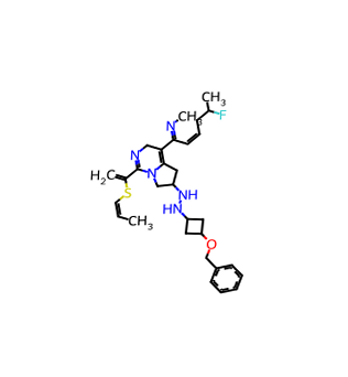 C=C(S/C=C\C)C1=NCC(C(/C=C\CC(C)F)=N/C)=C2CC(NNC3CC(OCc4ccccc4)C3)CN12